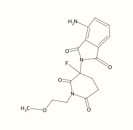 COCCN1C(=O)CCC(F)(N2C(=O)c3cccc(N)c3C2=O)C1=O